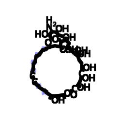 CC1/C=C/C=C/CC/C=C/C=C/C=C/C=C/C(OC2OC(C)C(O)C(N)C2O)CC2OC(O)(CC(O)C(O)CCC(O)CC(O)CC(O)CC(=O)OC(C)C(C)C1O)CC(O)C2C